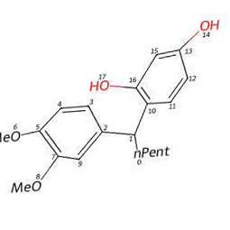 CCCCCC(c1ccc(OC)c(OC)c1)c1ccc(O)cc1O